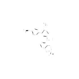 CN(C)Cc1ccc(Nc2cccc3c2CCN(S(C)(=O)=O)C3)cc1-c1ccc(C#N)cc1